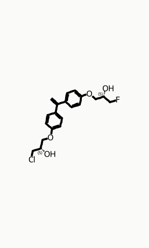 C=C(c1ccc(OC[C@H](O)CF)cc1)c1ccc(OC[C@H](O)CCl)cc1